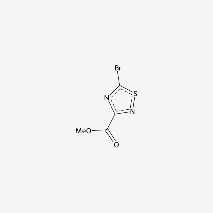 COC(=O)c1nsc(Br)n1